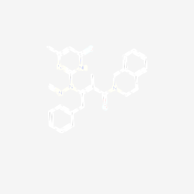 C=NN(/C(Cc1ccccc1)=C(\C)C(=O)N1CCc2ccccc2C1)c1nc(C)cc(=O)[nH]1